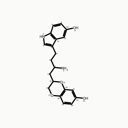 NC(CCc1c[nH]c2ccc(O)cc12)CC1COc2ccc(O)cc2O1